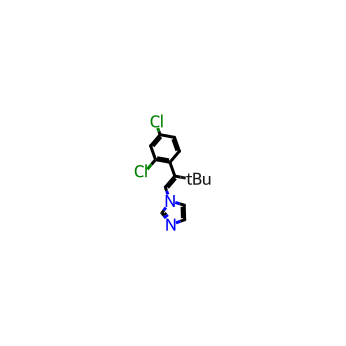 CC(C)(C)/C(=C\n1ccnc1)c1ccc(Cl)cc1Cl